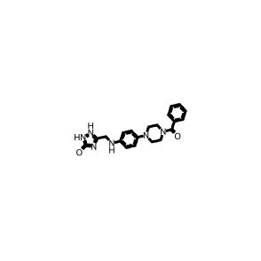 O=C(c1ccccc1)N1CCN(c2ccc(NCc3nc(=O)[nH][nH]3)cc2)CC1